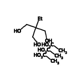 CC(=O)O.CC(=O)O.CC(=O)O.CCC(CO)(CO)CO